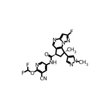 Cn1cc([C@@]2(C)C[C@@H](C(=O)Nc3cnc(OC(F)F)c(C#N)c3)c3cnc4cc(F)nn4c32)cn1